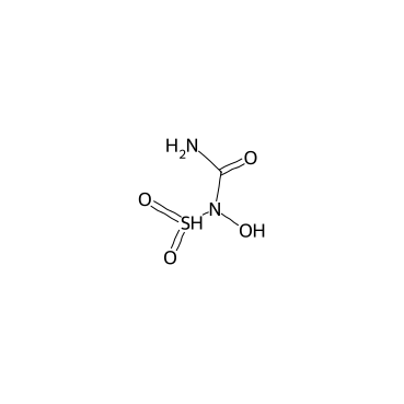 NC(=O)N(O)[SH](=O)=O